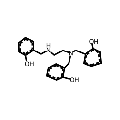 Oc1ccccc1CNCCN(Cc1ccccc1O)Cc1ccccc1O